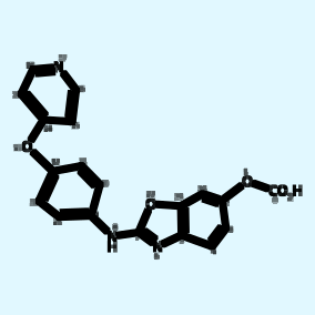 O=C(O)Oc1ccc2nc(Nc3ccc(Oc4ccncc4)cc3)oc2c1